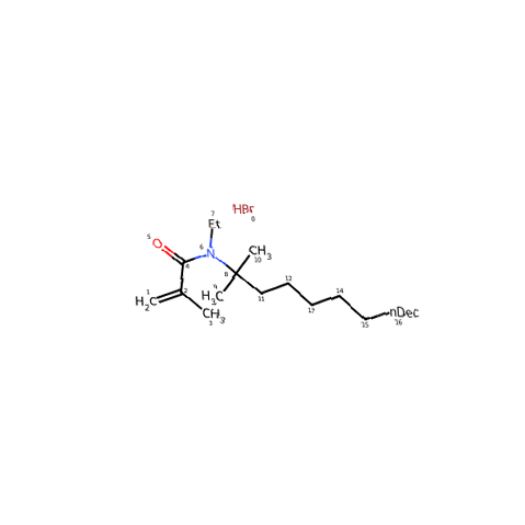 Br.C=C(C)C(=O)N(CC)C(C)(C)CCCCCCCCCCCCCCC